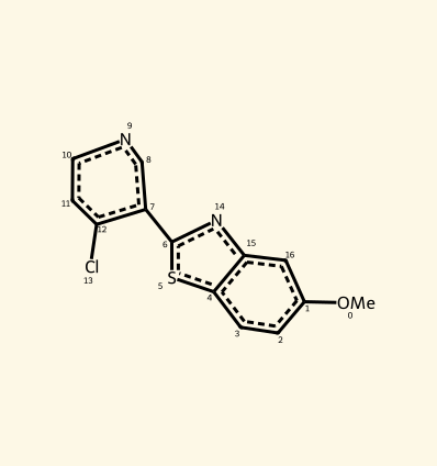 COc1ccc2sc(-c3cnccc3Cl)nc2c1